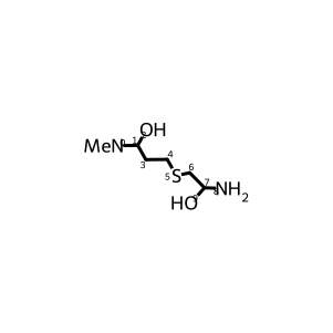 CNC(O)CCSCC(N)O